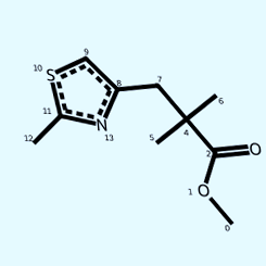 COC(=O)C(C)(C)Cc1csc(C)n1